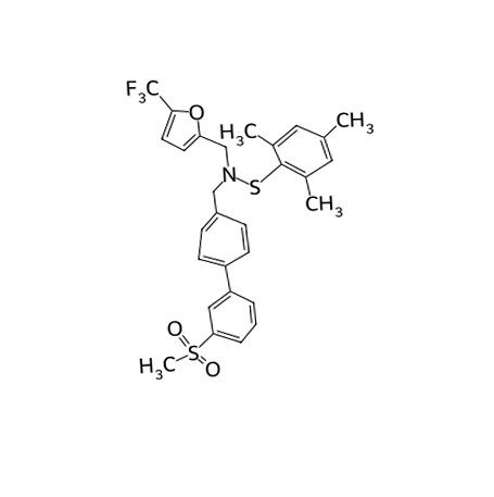 Cc1cc(C)c(SN(Cc2ccc(-c3cccc(S(C)(=O)=O)c3)cc2)Cc2ccc(C(F)(F)F)o2)c(C)c1